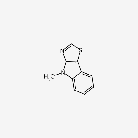 Cn1c2ccccc2c2scnc21